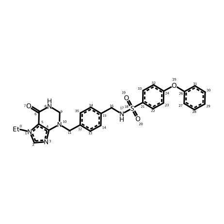 CCn1cnc2c1C(=O)NCN2Cc1ccc(CNS(=O)(=O)c2ccc(Oc3ccccc3)cc2)cc1